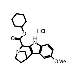 COc1ccc2[nH]c3c(c2c1)C1CCN(C1)C3C(=O)OC1CCCCC1.Cl